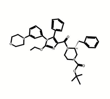 CCOc1nc(C(=O)N2CCN(C(=O)OC(C)(C)C)C[C@H]2Cc2ccccc2)c(-c2ccccc2)n1-c1cccc(N2CCOCC2)c1